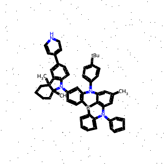 Cc1cc2c3c(c1)N(c1ccc(C(C)(C)C)cc1)c1cc(N4c5ccc(C6=CCNC=C6)cc5C5(C)CCCCC45C)ccc1B3c1ccccc1N2c1ccccc1